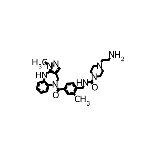 Cc1cc(C(=O)N2Cc3cnn(C)c3Nc3ccccc32)ccc1CNC(=O)N1CCN(CCN)CC1